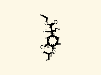 CCOC(=O)C(F)(F)c1ccc(OC(C)C)c(Cl)c1